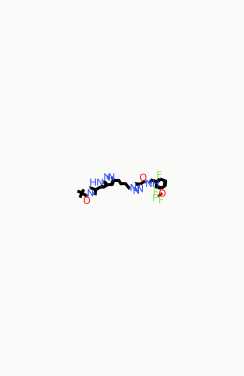 CC(C)(C)C(=O)N1CC(c2cc3cc(CCCCn4cc(C(=O)NCc5cc(OC(F)(F)F)ccc5F)nn4)nnc3[nH]2)C1